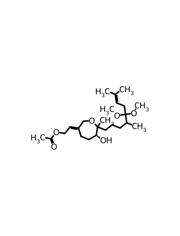 COC(CC=C(C)C)(OC)C(C)CCCC1(C)OC/C(=C/COC(C)=O)CC[C@@H]1O